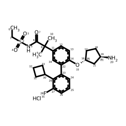 CCS(=O)(=O)NC(=O)C(C)(C)c1ccc(O[C@@H]2CC[C@@H](N)C2)c(-c2cccc(F)c2C2CCC2)c1.Cl